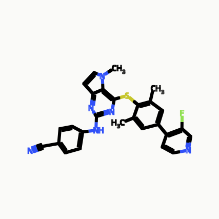 Cc1cc(-c2ccncc2F)cc(C)c1Sc1nc(Nc2ccc(C#N)cc2)nc2ccn(C)c12